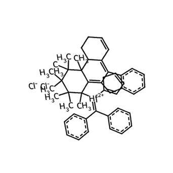 CC12C(=C3Cc4ccccc4C3=C3C=CCCC31)[C](C)([Hf+2]([C]1=CC=CC1)=[C](c1ccccc1)c1ccccc1)C(C)(C)C(C)(C)C2(C)C.[Cl-].[Cl-]